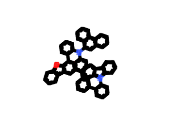 c1cc(-c2ccc(N(c3ccccc3-c3cccc4c3oc3ccccc34)c3cc4ccccc4c4ccccc34)cc2)cc(-c2ccccc2-n2c3ccccc3c3ccccc32)c1